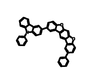 c1ccc(-c2ccc3oc4cc5oc6ccc(-c7ccc8c(c7)c7ccccc7n8-c7ccccc7)cc6c5cc4c3c2)cc1